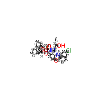 C=CC[C@H](O)[C@@H]1CC[C@H]1CN1C[C@@]2(CCCc3cc(Cl)ccc32)COc2ccc(C(=O)NS(=O)(=O)C[C@@H](C=C)O[Si](c3ccccc3)(c3ccccc3)C(C)(C)C)cc21